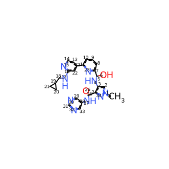 Cn1cc(NC(O)c2cccc(-c3ccnc(NCC4CC4)c3)n2)c(C(=O)Nc2cncnc2)n1